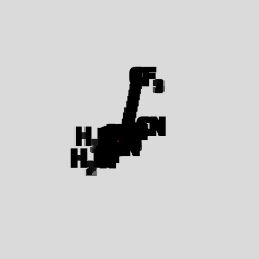 CC1(C)O[C@H]2[C@H](c3ccc4c(N)ncnn34)O[C@](C#N)(COP(=O)(O)OC[C@@H](CCCCCCCCCCCCCCCCCCC(F)(F)F)OCc3cc(F)cc(C#N)c3)[C@H]2O1